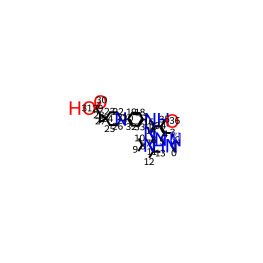 CN/N=C\c1nc(N(C(C)C)C(C)C)nc(Nc2ccc(N3CCC4(CC3)CC4C(=O)O)cc2)c1C=O